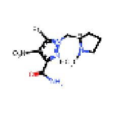 CCc1c([N+](=O)[O-])c(C(N)=O)nn1C[C@H]1CCCN1C(=O)O